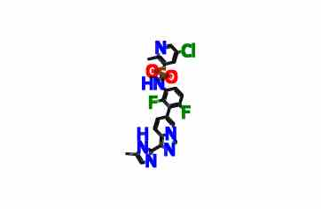 Cc1cnc(-c2ncn3cc(-c4c(F)ccc(NS(=O)(=O)c5cc(Cl)cnc5C)c4F)ccc23)[nH]1